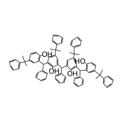 CC(C)(c1ccccc1)c1ccc(O)c(C(c2ccccc2)c2cc(C(C)(C)c3ccccc3)cc(C(c3ccccc3)c3cc(C(C)(C)c4ccccc4)cc(C(c4ccccc4)c4cc(C(C)(C)c5ccccc5)ccc4O)c3O)c2O)c1